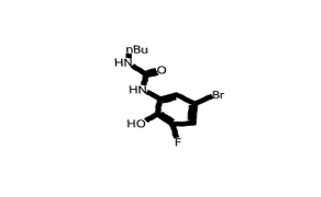 CCCCNC(=O)Nc1cc(Br)cc(F)c1O